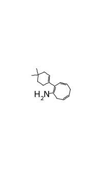 CC1(C)CC=C(C2=C(\N)CC=CC/C=C\2)CC1